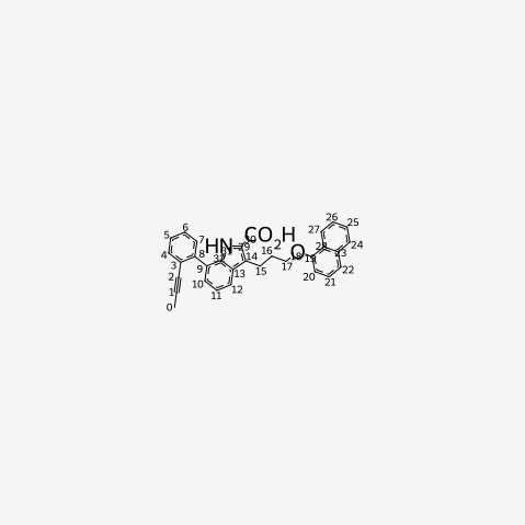 CC#Cc1ccccc1-c1cccc2c(CCCOc3cccc4ccccc34)c(C(=O)O)[nH]c12